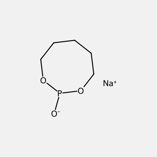 [Na+].[O-]P1OCCCCCO1